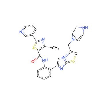 Cc1nc(-c2cccnc2)sc1C(=O)Nc1ccccc1-c1cn2c(CN3CC4CC3CN4)csc2n1